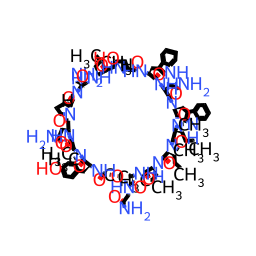 CCCC[C@H]1C(=O)N(C)[C@@H](CCCC)C(=O)N[C@@H](CC(C)C)C(=O)N[C@H](C(=O)NCC(N)=O)COCC(=O)N[C@@H](Cc2ccc(O)cc2)C(=O)N(C)[C@@H](C)C(=O)N[C@@H](CC(N)=O)C(=O)N2CCC[C@H]2C(=O)N[C@@H](CN)C(=O)N[C@@H](CC(C)C)C(=O)C2N[C@@H](C[C@H]2O)C(=O)N[C@@H](Cc2c[nH]c3ccccc23)C(=O)N[C@@H](CCN)C(=O)N[C@@H](Cc2c[nH]c3ccccc23)C(=O)N1C